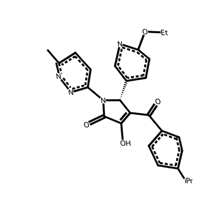 CCOc1ccc([C@@H]2C(C(=O)c3ccc(C(C)C)cc3)=C(O)C(=O)N2c2ccc(C)nn2)cn1